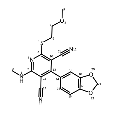 CNc1nc(SCCOC)c(C#N)c(-c2ccc3c(c2)OCO3)c1C#N